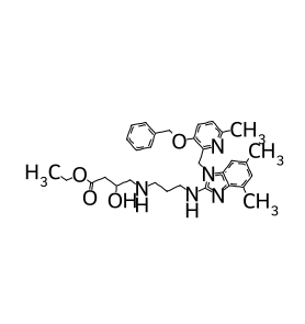 CCOC(=O)CC(O)CNCCCNc1nc2c(C)cc(C)cc2n1Cc1nc(C)ccc1OCc1ccccc1